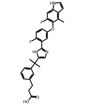 Cc1c(Oc2ccc(F)c(-c3ncc(C(C)(C)c4cccc(CCC(=O)O)c4)[nH]3)c2)c(F)cc2[nH]ccc12